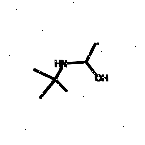 [CH2]C(O)NC(C)(C)C